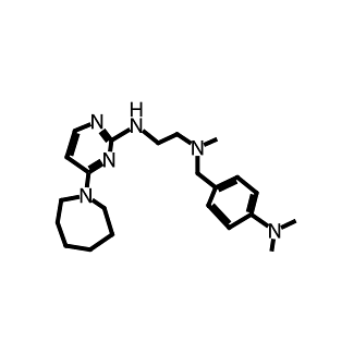 CN(CCNc1nccc(N2CCCCCC2)n1)Cc1ccc(N(C)C)cc1